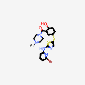 CC(=O)N1CCN(C(=O)c2cc(Sc3cnc(Nc4cccc(Br)n4)s3)ccc2O)CC1